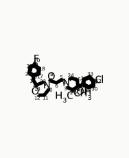 CC1(C)CN(CCC(=O)N2CCCOC(Cc3ccc(F)cc3)C2)CCC1(O)c1ccc(Cl)cc1